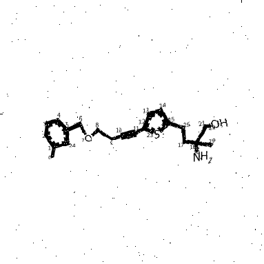 Cc1cccc(COCCC#Cc2ccc(CCC(C)(N)CO)s2)c1